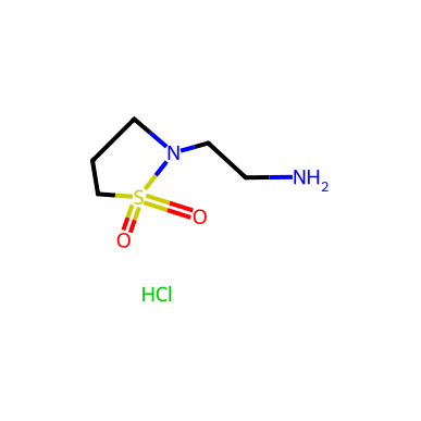 Cl.NCCN1CCCS1(=O)=O